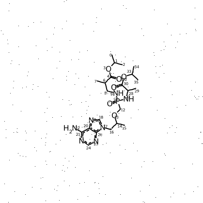 CC(C)OC(=O)C(C)CNP(=O)(COC(C)Cn1cnc2c(N)ncnc21)NC(C)C(=O)OC(C)C